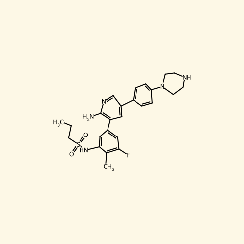 CCCS(=O)(=O)Nc1cc(-c2cc(-c3ccc(N4CCNCC4)cc3)cnc2N)cc(F)c1C